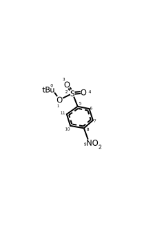 CC(C)(C)OS(=O)(=O)c1ccc([N+](=O)[O-])cc1